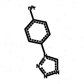 CCCc1ccc(-n2cnnn2)cc1